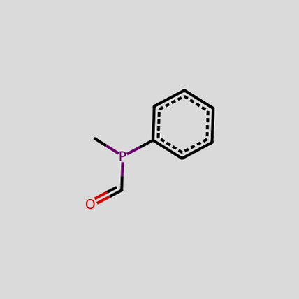 CP(C=O)c1ccccc1